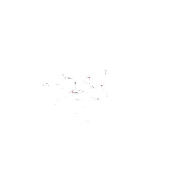 C#Cc1cccc(C23CC4CC(C2)CC(c2cccc(C#C)c2C#C)(C4)C3(c2cccc(C#C)c2C#C)c2cccc(C#C)c2C#C)c1C#C